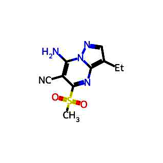 CCc1cnn2c(N)c(C#N)c(S(C)(=O)=O)nc12